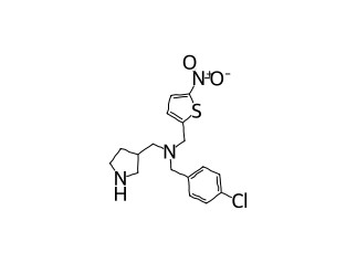 O=[N+]([O-])c1ccc(CN(Cc2ccc(Cl)cc2)CC2CCNC2)s1